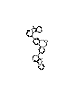 c1ccc2c(c1)oc1c(-c3ccc4c(c3)-c3ccc(-c5cccc6oc7ccccc7c56)cc3COC4)cccc12